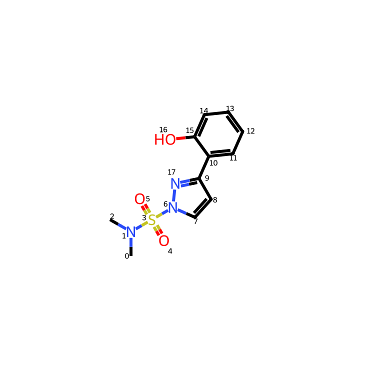 CN(C)S(=O)(=O)n1ccc(-c2ccccc2O)n1